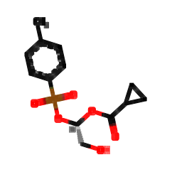 Cc1ccc(S(=O)(=O)O[C@@H](CO)OC(=O)C2CC2)cc1